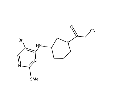 CSc1ncc(Br)c(N[C@H]2CCCN(C(=O)CC#N)C2)n1